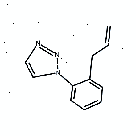 C=CCc1ccccc1-n1ccnn1